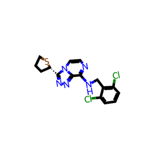 Clc1cccc(Cl)c1CNc1nccn2c([C@@H]3CCCS3)nnc12